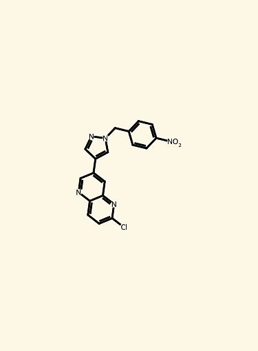 O=[N+]([O-])c1ccc(Cn2cc(-c3cnc4ccc(Cl)nc4c3)cn2)cc1